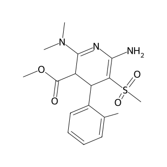 COC(=O)C1C(N(C)C)=NC(N)=C(S(C)(=O)=O)C1c1ccccc1C